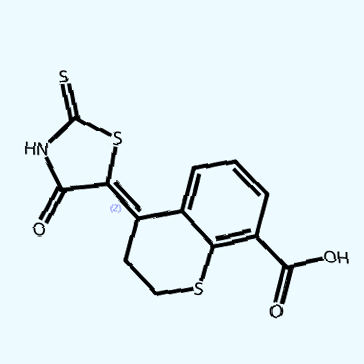 O=C1NC(=S)S/C1=C1/CCSc2c(C(=O)O)cccc21